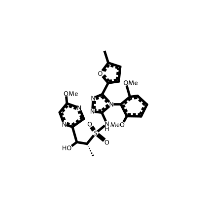 COc1cnc(C(O)[C@@H](C)S(=O)(=O)Nc2nnc(-c3ccc(C)o3)n2-c2c(OC)cccc2OC)cn1